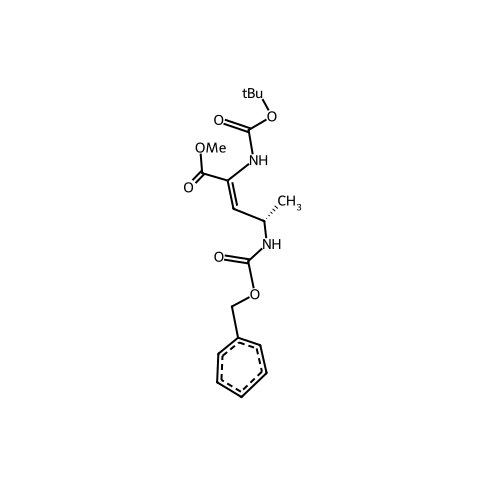 COC(=O)/C(=C/[C@H](C)NC(=O)OCc1ccccc1)NC(=O)OC(C)(C)C